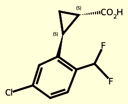 O=C(O)[C@H]1C[C@@H]1c1cc(Cl)ccc1C(F)F